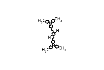 Cc1ccc(N(c2ccc(C)cc2)c2ccc(/C=C/c3cc(C#N)c(/C=C/c4ccc(N(c5ccc(C)cc5)c5ccc(C)cc5)cc4)cc3C#N)cc2)cc1